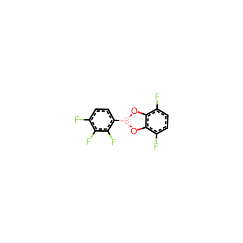 Fc1ccc(B2Oc3c(F)ccc(F)c3O2)c(F)c1F